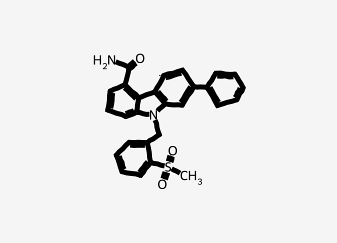 CS(=O)(=O)c1ccccc1Cn1c2cc(-c3ccccc3)c[c]c2c2c(C(N)=O)cccc21